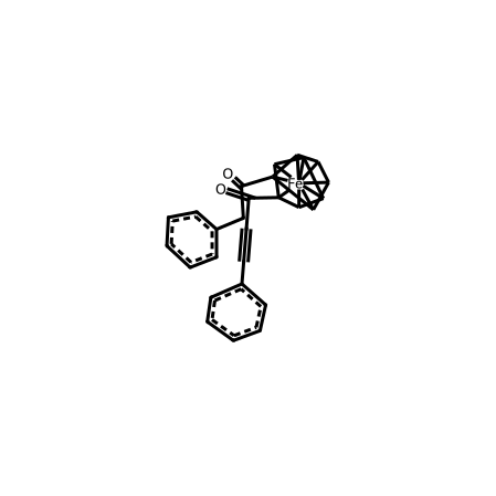 O=C(C#Cc1ccccc1)[C]12[CH]3[CH]4[CH]5[CH]1[Fe]45321678[CH]2[CH]1[CH]6[C]7(C(=O)Cc1ccccc1)[CH]28